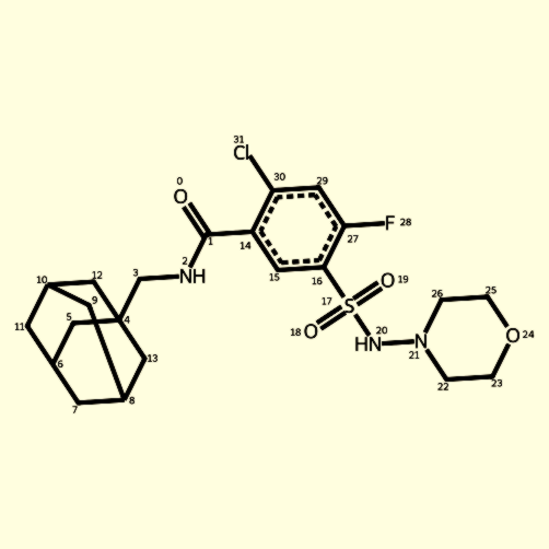 O=C(NCC12CC3CC(CC(C3)C1)C2)c1cc(S(=O)(=O)NN2CCOCC2)c(F)cc1Cl